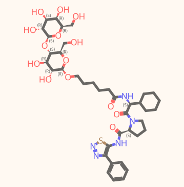 O=C(CCCCCO[C@@H]1O[C@H](CO)[C@@H](O[C@@H]2O[C@H](CO)[C@H](O)[C@H](O)[C@H]2O)[C@H](O)[C@H]1O)N[C@H](C(=O)N1CCC[C@H]1C(=O)Nc1snnc1-c1ccccc1)C1CCCCC1